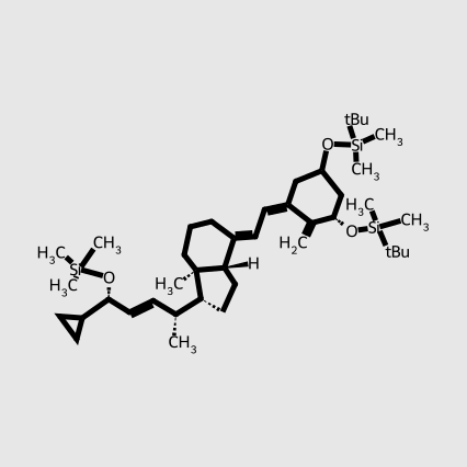 C=C1/C(=C\C=C2/CCC[C@]3(C)[C@@H]([C@H](C)/C=C/[C@@H](O[Si](C)(C)C)C4CC4)CC[C@@H]23)CC(O[Si](C)(C)C(C)(C)C)C[C@@H]1O[Si](C)(C)C(C)(C)C